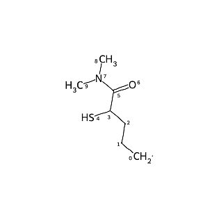 [CH2]CCC(S)C(=O)N(C)C